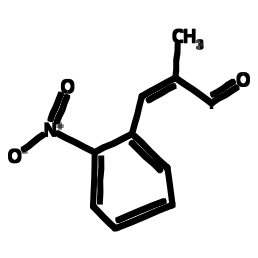 CC([C]=O)=Cc1ccccc1[N+](=O)[O-]